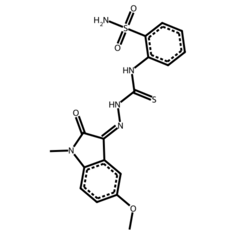 COc1ccc2c(c1)C(=NNC(=S)Nc1ccccc1S(N)(=O)=O)C(=O)N2C